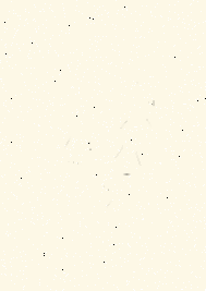 Cc1ccc(CN2C(=O)COc3ccc(/C=C4/SC(=S)NC4=O)cc32)cc1C